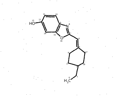 CCC1CCC(=Cc2nc3ccc(O)cc3o2)CC1